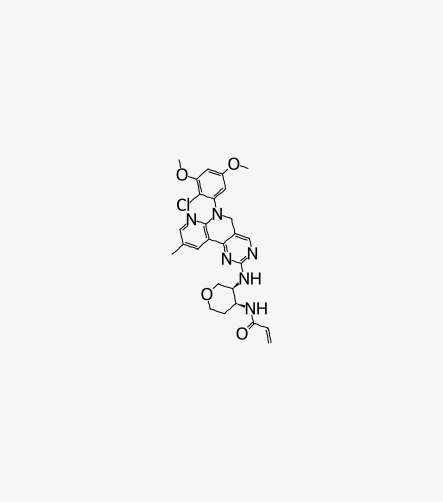 C=CC(=O)N[C@H]1CCOC[C@H]1Nc1ncc2c(n1)-c1cc(C)cnc1N(c1cc(OC)cc(OC)c1Cl)C2